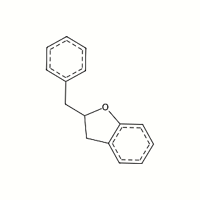 c1ccc(CC2Cc3ccccc3O2)cc1